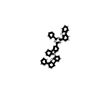 c1ccc(-c2nc(-c3ccc4c(c3)c3ccccc3n4-c3cccc4c3oc3c(-c5ccccc5)cccc34)nc(-c3cccc4c3oc3ccccc34)n2)cc1